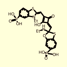 CCNC1(C=C2C(=O)C(C=C3Sc4ccc(P(=O)(O)O)cc4N3CC)=C2O)Oc2cc(P(=O)(O)O)ccc2S1